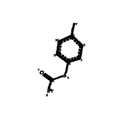 Cc1ccc(SC(=O)C(C)C)cc1